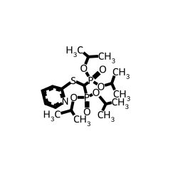 CC(C)OP(=O)(OC(C)C)C(Sc1ccccn1)P(=O)(OC(C)C)OC(C)C